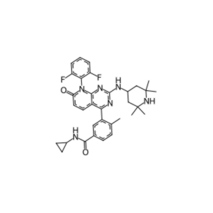 Cc1ccc(C(=O)NC2CC2)cc1-c1nc(NC2CC(C)(C)NC(C)(C)C2)nc2c1ccc(=O)n2-c1c(F)cccc1F